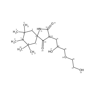 CN1C(C)(C)CC2(CC1(C)C)NC(=O)N(CC(O)COCCO)C2=O